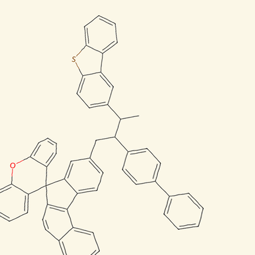 CC(c1ccc2sc3ccccc3c2c1)C(Cc1ccc2c(c1)C1(c3ccccc3Oc3ccccc31)c1ccc3ccccc3c1-2)c1ccc(-c2ccccc2)cc1